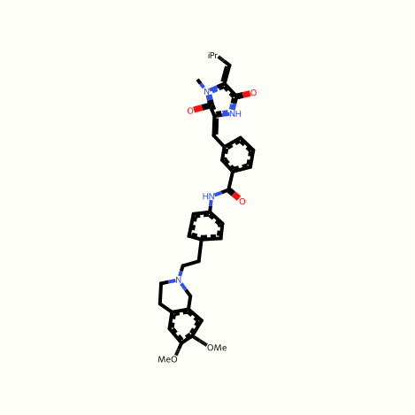 COc1cc2c(cc1OC)CN(CCc1ccc(NC(=O)c3cccc(C=c4[nH]c(=O)c(=CC(C)C)n(C)c4=O)c3)cc1)CC2